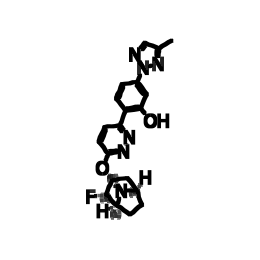 Cc1cnn(-c2ccc(-c3ccc(O[C@@H]4C[C@H]5CC[C@@H]([C@@H]4F)N5C)nn3)c(O)c2)n1